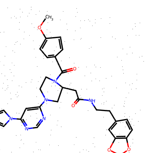 COc1ccc(C(=O)N2CCN(c3cc(-n4ccnc4)ncn3)CC2CC(=O)NCCc2ccc3c(c2)OCO3)cc1